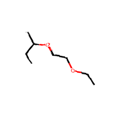 [CH2]C(CC)OCCOCC